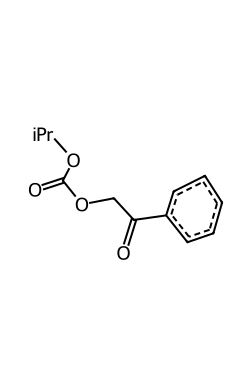 CC(C)OC(=O)OCC(=O)c1ccccc1